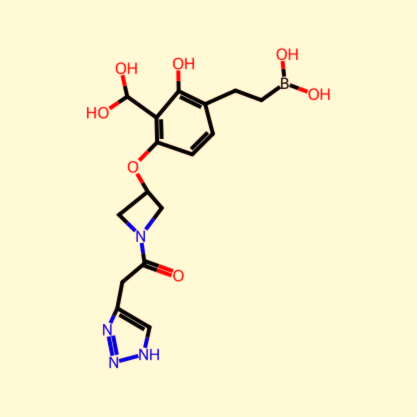 O=C(Cc1c[nH]nn1)N1CC(Oc2ccc(CCB(O)O)c(O)c2C(O)O)C1